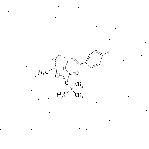 CC(C)(C)OC(=O)N1[C@@H](/C=C/c2ccc(I)cc2)COC1(C)C